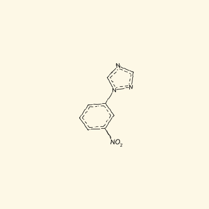 O=[N+]([O-])c1cccc(-n2cncn2)c1